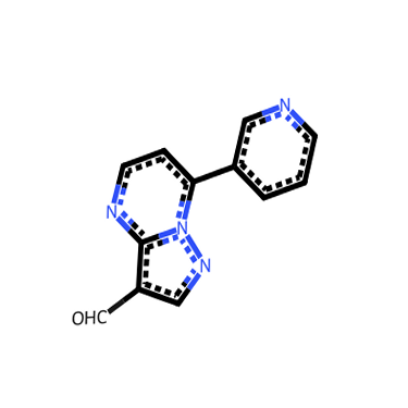 O=Cc1cnn2c(-c3cccnc3)ccnc12